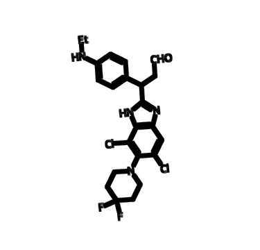 CCNc1ccc(C(CC=O)c2nc3cc(Cl)c(N4CCC(F)(F)CC4)c(Cl)c3[nH]2)cc1